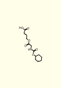 O=C(O)CCCOC(=O)CNC(=O)OC1CCCCC1